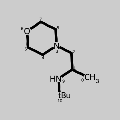 CC(CN1CCOCC1)NC(C)(C)C